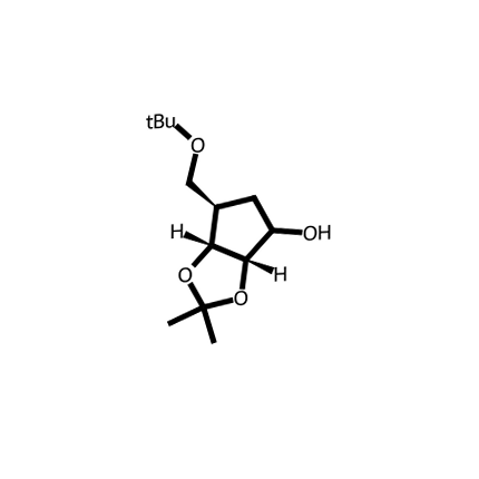 CC(C)(C)OC[C@H]1CC(O)[C@@H]2OC(C)(C)O[C@H]12